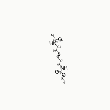 CCOC(=O)NCCSSCCNC(C)=O